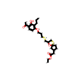 CCCc1c(OCCCSCC2CSC3(CCC(CC(=O)OCC)C3)O2)ccc(C(C)=O)c1O